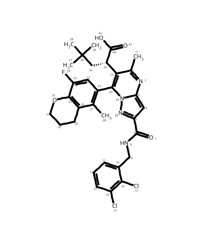 Cc1nc2cc(C(=O)NCc3cccc(Cl)c3Cl)nn2c(-c2cc(F)c3c(c2C)CCCO3)c1[C@H](CC(C)(C)C)C(=O)O